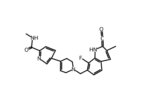 CNC(=O)c1ccc(C2=CCN(Cc3ccc4c(c3F)NC(=C=O)C(C)=C4)CC2)cn1